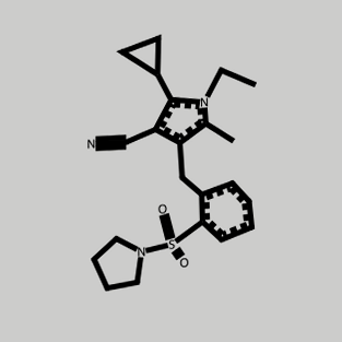 CCn1c(C)c(Cc2ccccc2S(=O)(=O)N2CCCC2)c(C#N)c1C1CC1